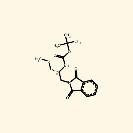 CSC[C@@H](CN1C(=O)c2ccccc2C1=O)NC(=O)OC(C)(C)C